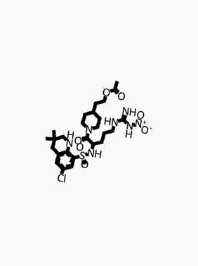 CC(=O)OCCC1CCN(C(=O)C(CCCNC(=N)N[N+](=O)[O-])NS(=O)(=O)c2cc(Cl)cc3c2NCC(C)(C)C3)CC1